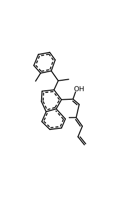 C=C/C=C(C)/C=C(/O)c1c(C(C)c2ccccc2C)ccc2ccccc12